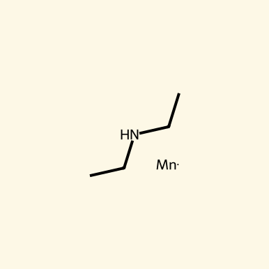 CCNCC.[Mn]